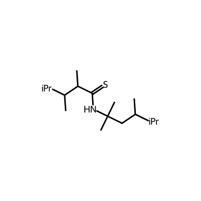 CC(C)C(C)CC(C)(C)NC(=S)C(C)C(C)C(C)C